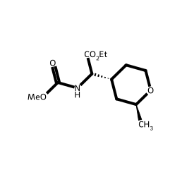 CCOC(=O)C(NC(=O)OC)[C@@H]1CCO[C@@H](C)C1